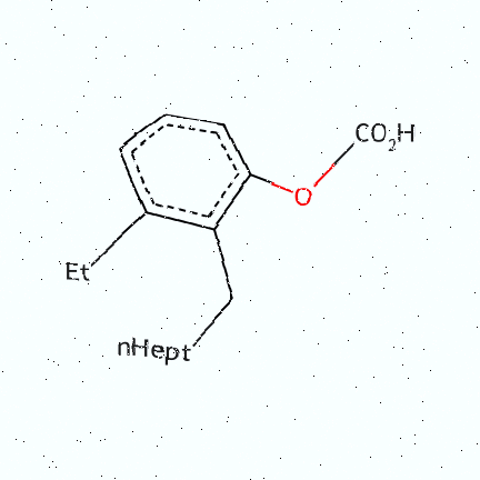 CCCCCCCCc1c(CC)cccc1OC(=O)O